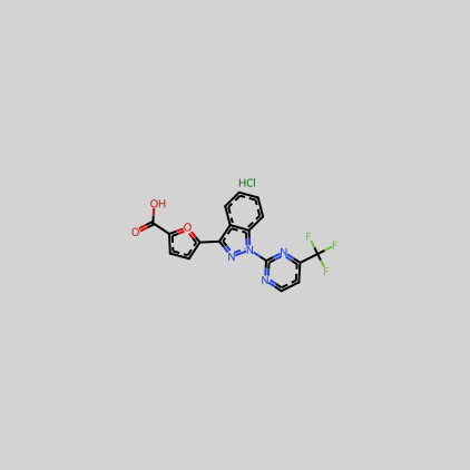 Cl.O=C(O)c1ccc(-c2nn(-c3nccc(C(F)(F)F)n3)c3ccccc23)o1